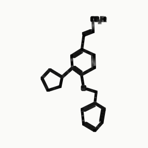 CCOC(=O)/C=C/c1ccc(OCc2ccccc2)c(C2CCCC2)c1